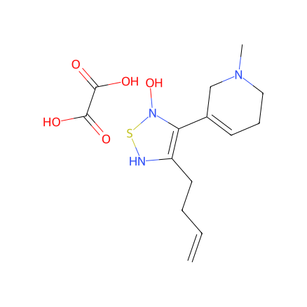 C=CCCC1=C(C2=CCCN(C)C2)N(O)SN1.O=C(O)C(=O)O